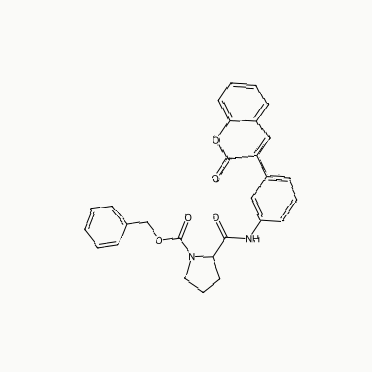 O=C(Nc1cccc(-c2cc3ccccc3oc2=O)c1)C1CCCN1C(=O)OCc1ccccc1